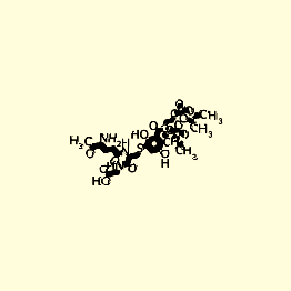 CCOP(=O)(OCC)OC(COC(=O)c1cc(O)cc(SCC(NC(=O)CCC(N)C(C)=O)C(=O)NCC(=O)O)c1O)OP(=O)(OCC)OCC